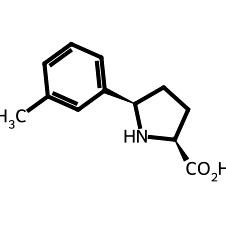 Cc1cccc([C@H]2CC[C@@H](C(=O)O)N2)c1